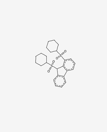 O=S(=O)(c1cccc2c1C(S(=O)(=O)C1CCCCC1)c1ccccc1-2)C1CCCCC1